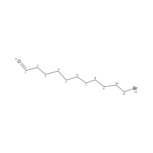 O=CCCCCCCCCCCBr